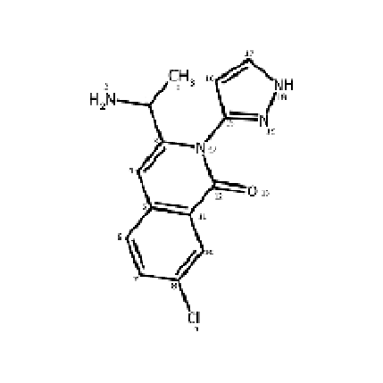 CC(N)c1cc2ccc(Cl)cc2c(=O)n1-c1cc[nH]n1